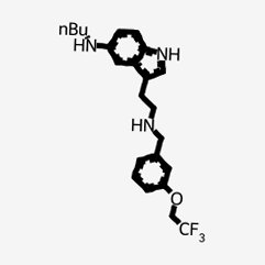 CCCCNc1ccc2[nH]cc(CCNCc3cccc(OCC(F)(F)F)c3)c2c1